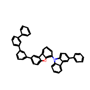 c1ccc(-c2cccc(-c3cccc(-c4ccc5oc6c(-n7c8ccccc8c8cc(-c9ccccc9)ccc87)cccc6c5c4)c3)c2)cc1